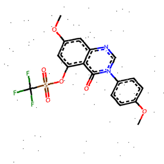 COc1ccc(-n2cnc3cc(OC)cc(OS(=O)(=O)C(F)(F)F)c3c2=O)cc1